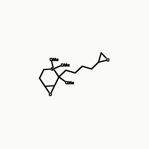 COC1(CCCCC2CO2)C2OC2CC[Si]1(OC)OC